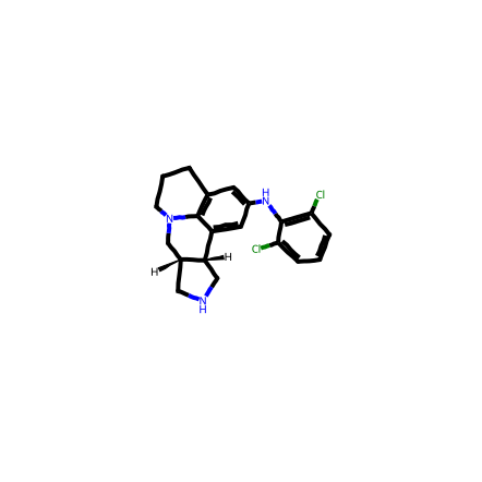 Clc1cccc(Cl)c1Nc1cc2c3c(c1)[C@@H]1CNC[C@@H]1CN3CCC2